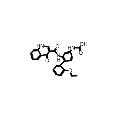 CCOc1ccccc1-c1ccc(NC(=O)O)cc1NC(=O)c1c[nH]c2ccccc2c1=O